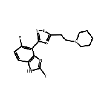 CCc1nc2c(-c3noc(CCN4CCCCC4)n3)c(F)ccc2[nH]1